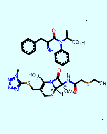 CC(C(=O)O)N(C(=O)C(N)Cc1ccccc1)c1ccccc1.CO[C@@]1(NC(=O)CSCC#N)C(=O)N2C(C(=O)O)=C(CSc3nnnn3C)CS[C@@H]21